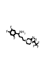 NC(CCCN1CCn2c(nnc2C(F)(F)F)C1)c1cc(F)c(F)cc1F